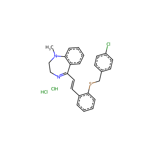 CN1CCN=C(C=Cc2ccccc2SCc2ccc(Cl)cc2)c2ccccc21.Cl.Cl